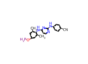 Cc1cc(OP)cc(C)c1Nc1ccnc(Nc2ccc(C#N)cc2)n1